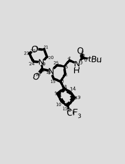 CC(C)(C)C(=O)NCC1CC(c2ccc(C(F)(F)F)cc2)CN(C(=O)N2CCOCC2)C1